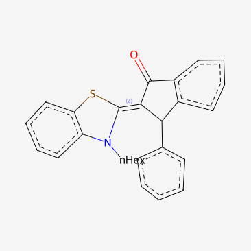 CCCCCCN1/C(=C2/C(=O)c3ccccc3C2c2ccccc2)Sc2ccccc21